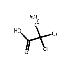 O=C(O)C(Cl)(Cl)Cl.[InH3]